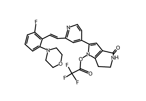 O=C1NCCc2c1cc(-c1ccnc(C=Cc3c(F)cccc3N3CCOCC3)c1)n2OC(=O)C(F)(F)F